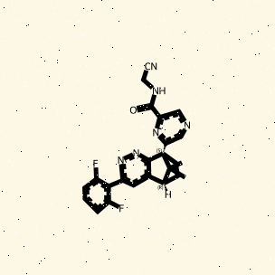 CC1(C)[C@H]2CC[C@]1(c1cncc(C(=O)NCC#N)n1)c1nnc(-c3c(F)cccc3F)cc12